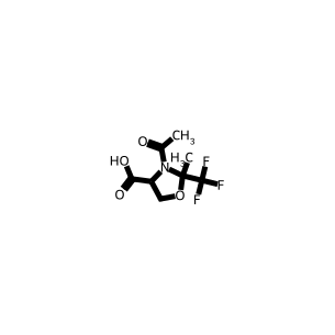 CC(=O)N1C(C(=O)O)COC1(C)C(F)(F)F